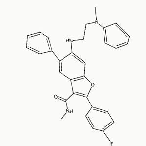 CNC(=O)c1c(-c2ccc(F)cc2)oc2cc(NCCN(C)c3ccccc3)c(-c3ccccc3)cc12